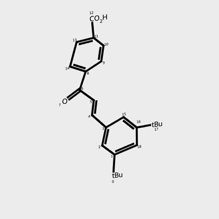 CC(C)(C)c1cc(C=CC(=O)c2ccc(C(=O)O)cc2)cc(C(C)(C)C)c1